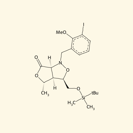 COc1c(I)cccc1CN1O[C@@H](CO[Si](C)(C)C(C)(C)C)[C@H]2[C@H](C)OC(=O)[C@H]21